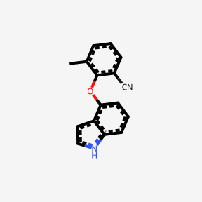 Cc1cccc(C#N)c1Oc1cccc2[nH]ccc12